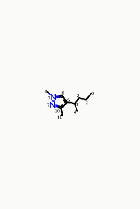 CCCC(C)c1cn(C)nc1C